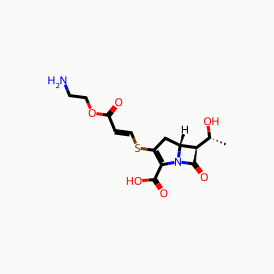 C[C@@H](O)[C@H]1C(=O)N2C(C(=O)O)=C(SC=CC(=O)OCCN)C[C@H]12